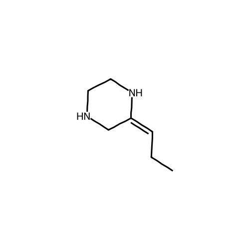 CC/C=C1\CNCCN1